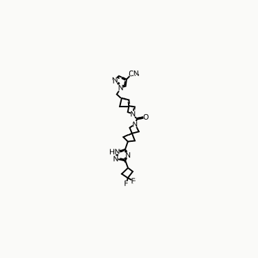 N#Cc1cnn(CC2CC3(C2)CN(C(=O)N2CC4(CC(c5nc(C6CC(F)(F)C6)n[nH]5)C4)C2)C3)c1